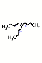 C=C/C=[CH]/[W](/[CH]=C/C=C)/[CH]=C/C=C